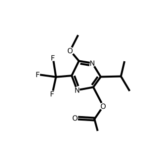 COc1nc(C(C)C)c(OC(C)=O)nc1C(F)(F)F